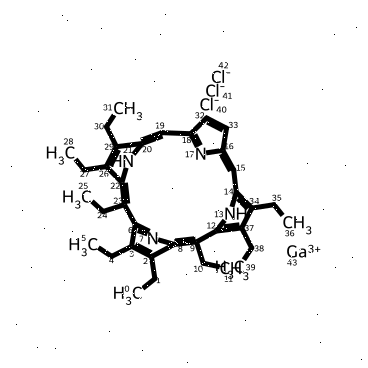 CCC1=C(CC)c2nc1c(CC)c1[nH]c(cc3nc(cc4[nH]c(c2CC)c(CC)c4CC)C=C3)c(CC)c1CC.[Cl-].[Cl-].[Cl-].[Ga+3]